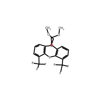 COCOc1cccc(C(F)(F)F)c1Sc1c(OCOC)cccc1C(F)(F)F